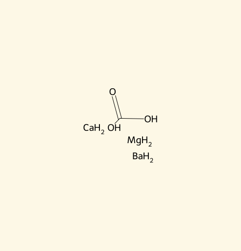 O=C(O)O.[BaH2].[CaH2].[MgH2]